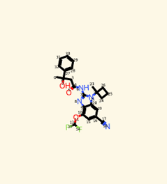 CC(O)(CC(=O)Nc1nc2c(OC(F)F)cc(C#N)cc2n1C1(C)CCC1)c1ccccc1